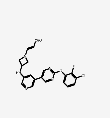 O=CC=CN1CC(Nc2cncc(-c3cnc(Oc4cccc(Cl)c4F)nc3)c2)C1